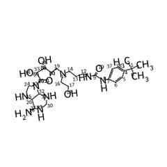 CC(C)(C)c1ccc(NC(=O)NCCCN(CCO)C[C@H]2O[C@@H](N3CNC4C(N)NCNC43)[C@H](O)[C@@H]2O)cc1